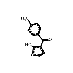 Cc1ccc(C(=O)c2ccoc2O)cc1